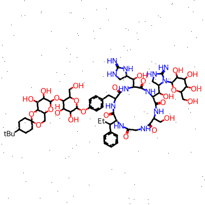 CCC(c1ccccc1)C1NC(=O)CNC(=O)C(CO)NC(=O)C(C(O)C2CNC(=N)N2C2OC(CO)C(O)C(O)C2O)NC(=O)C(C(O)C2CNC(=N)N2)NC(=O)C(Cc2ccc(OC3OC(CO)C(OC4OC5COC6(CCC(C(C)(C)C)CC6)OC5C(O)C4O)C(O)C3O)cc2)NC1=O